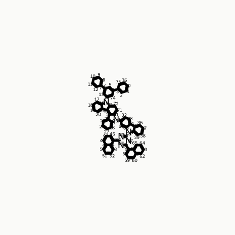 c1ccc(-c2cc(-c3ccccc3)cc(-n3c4ccccc4c4c5c6ccccc6n(-c6ccc7c8ccccc8n(-c8nc(-c9cccc%10ccccc9%10)nc(-c9cccc%10ccccc9%10)n8)c7c6)c5ccc43)c2)cc1